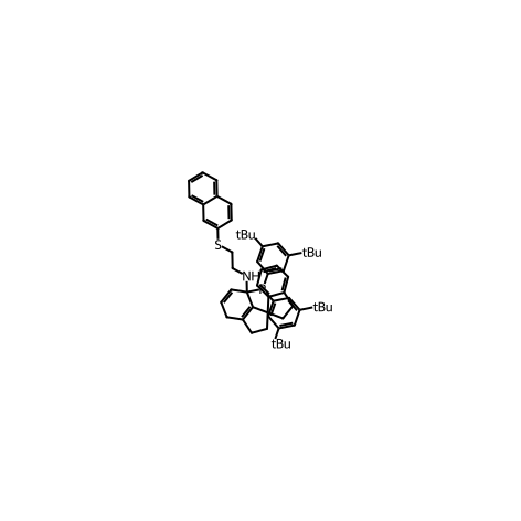 CC(C)(C)c1cc(P(c2cc(C(C)(C)C)cc(C(C)(C)C)c2)C2(NCCSc3ccc4ccccc4c3)C=CCC3=C2C2(CC3)CCc3ccccc32)cc(C(C)(C)C)c1